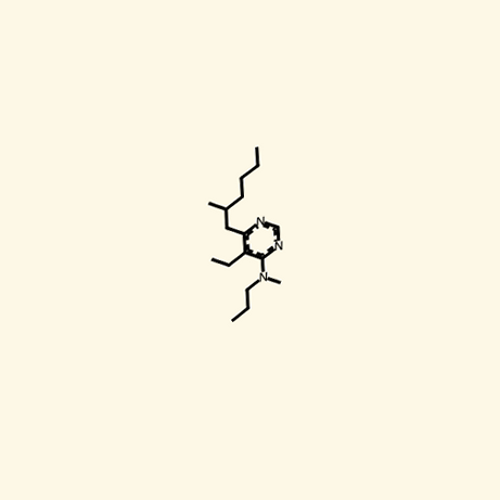 CCCCC(C)Cc1ncnc(N(C)CCC)c1CC